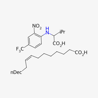 CC(C)C(Nc1ccc(C(F)(F)F)cc1[N+](=O)[O-])C(=O)O.CCCCCCCCCCC/C=C\CCCCCCC(=O)O